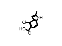 Cc1cc2c(Cl)c(C(=O)O)ccc2[nH]1